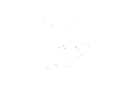 C=CC(=O)N(CC)CC(=O)NC(Cc1ccc(Cl)cc1Cl)B(O)O